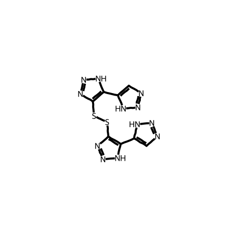 c1nn[nH]c1-c1[nH]nnc1SSc1nn[nH]c1-c1cnn[nH]1